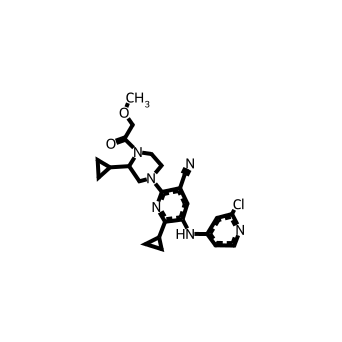 COCC(=O)N1CCN(c2nc(C3CC3)c(Nc3ccnc(Cl)c3)cc2C#N)CC1C1CC1